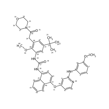 COc1cccc(Nc2cc(Oc3ccc(NC(=O)Nc4cc(C(C)(C)C)cc(CC(=O)N5CCOCC5)c4OC)c4ccccc34)ccn2)c1